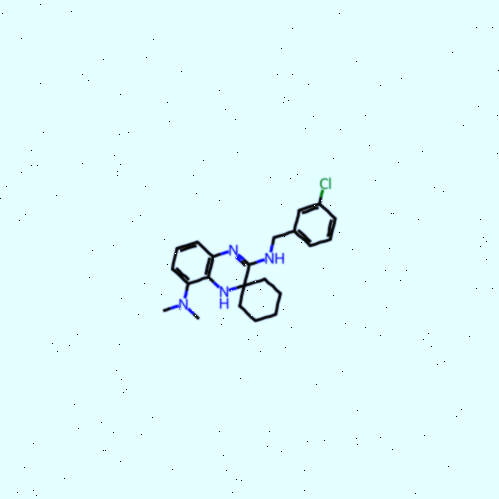 CN(C)c1cccc2c1NC1(CCCCC1)C(NCc1cccc(Cl)c1)=N2